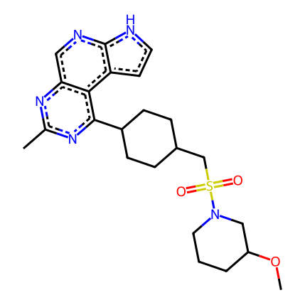 COC1CCCN(S(=O)(=O)CC2CCC(c3nc(C)nc4cnc5[nH]ccc5c34)CC2)C1